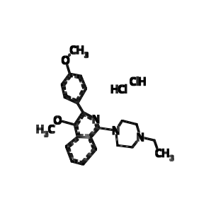 CCN1CCN(c2nc(-c3ccc(OC)cc3)c(OC)c3ccccc23)CC1.Cl.Cl